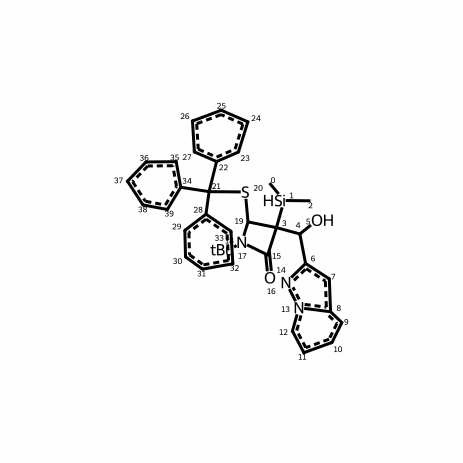 C[SiH](C)C1(C(O)c2cc3ccccn3n2)C(=O)N(C(C)(C)C)C1SC(c1ccccc1)(c1ccccc1)c1ccccc1